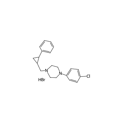 Br.Clc1ccc(N2CCN(CC3CC3c3ccccc3)CC2)cc1